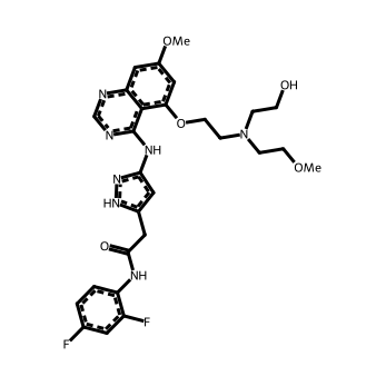 COCCN(CCO)CCOc1cc(OC)cc2ncnc(Nc3cc(CC(=O)Nc4ccc(F)cc4F)[nH]n3)c12